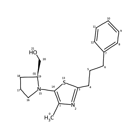 Cc1nc(CCCc2ccccc2)sc1N1CCC[C@H]1CO